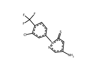 Nc1cnn(-c2ccc(C(F)(F)F)c(Cl)c2)c(=S)c1